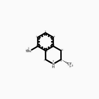 CC(C)(C)c1cccc2c1CN[C@@H](C(F)(F)F)C2